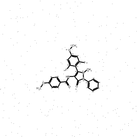 COc1ccc(C(=O)Nc2c(-c3c(F)cc(OC)cc3F)n(C)n(-c3ccccc3)c2=O)cc1